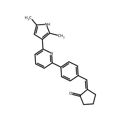 Cc1cc(-c2cccc(-c3ccc(C=C4CCCC4=O)cc3)n2)c(C)[nH]1